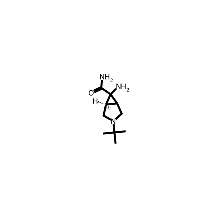 CC(C)(C)N1CC2[C@@H](C1)C2(N)C(N)=O